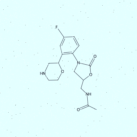 CC(=O)NCC1CN(c2ccc(F)cc2C2CNCCO2)C(=O)O1